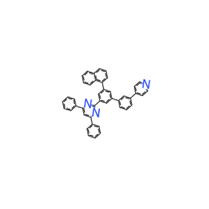 c1ccc(-c2cc(-c3ccccc3)nc(-c3cc(-c4cccc(-c5ccncc5)c4)cc(-c4cccc5ccccc45)c3)n2)cc1